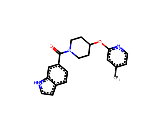 O=C(c1ccc2cc[nH]c2c1)N1CCC(Oc2cc(C(F)(F)F)ccn2)CC1